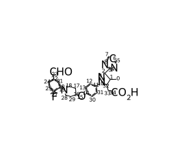 CC1C(c2ncccn2)=NN(c2ccc(OC3CCN(c4cc(C=O)ccc4F)CC3)cc2)C1CC(=O)O